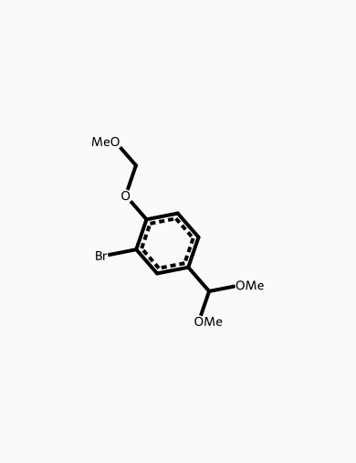 COCOc1ccc(C(OC)OC)cc1Br